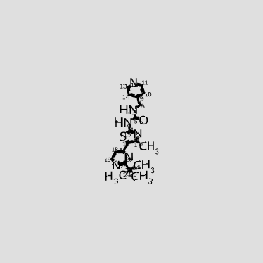 Cc1nc(NC(=O)NCc2ccncc2)sc1-c1ccnc(C(C)(C)C)n1